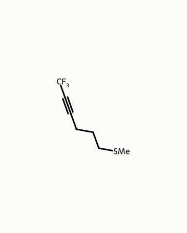 CSCCCC#CC(F)(F)F